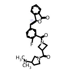 CN(C)C1CCN(C(=O)C2CN(C(=O)c3cc(/C=C4\OC(=O)c5ccccc54)ccc3F)C2)C1